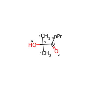 CCCC(=O)C(C)(C)O